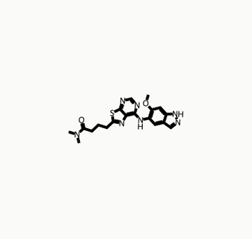 COc1cc2[nH]ncc2cc1Nc1ncnc2sc(CCCC(=O)N(C)C)nc12